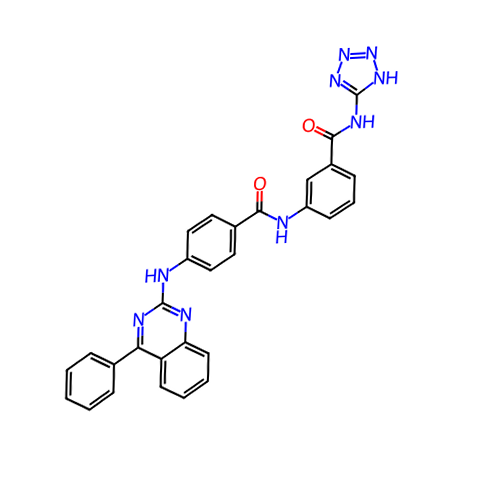 O=C(Nc1cccc(C(=O)Nc2nnn[nH]2)c1)c1ccc(Nc2nc(-c3ccccc3)c3ccccc3n2)cc1